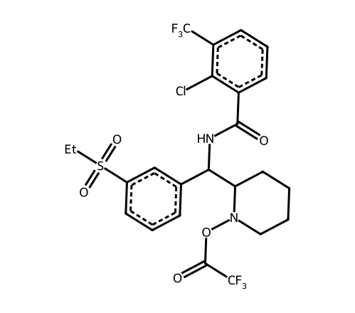 CCS(=O)(=O)c1cccc(C(NC(=O)c2cccc(C(F)(F)F)c2Cl)C2CCCCN2OC(=O)C(F)(F)F)c1